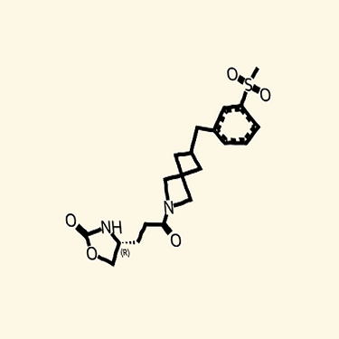 CS(=O)(=O)c1cccc(CC2CC3(C2)CN(C(=O)CC[C@@H]2COC(=O)N2)C3)c1